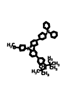 COc1ccc(-n2c3ccc(-c4ccc(C(CC(C)(C)C)C(C)(C)C)cc4)cc3c3cc(-c4ccc(N(c5ccccc5)c5ccccc5)cc4)ccc32)cc1